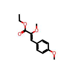 CCOC(=O)C(=Cc1ccc(OC)cc1)OC